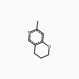 [CH2]c1cc2c(cn1)CCCO2